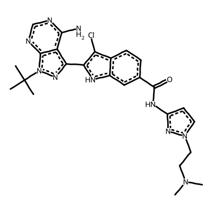 CN(C)CCn1ccc(NC(=O)c2ccc3c(Cl)c(-c4nn(C(C)(C)C)c5ncnc(N)c45)[nH]c3c2)n1